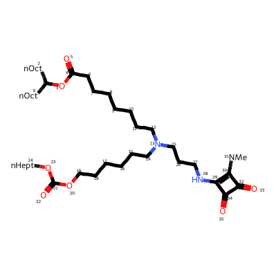 CCCCCCCCC(CCCCCCCC)OC(=O)CCCCCCCN(CCCCCCOC(=O)OCCCCCCC)CCCNc1c(NC)c(=O)c1=O